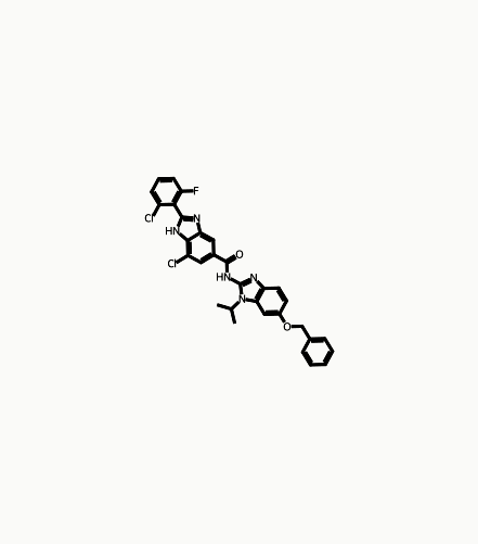 CC(C)n1c(NC(=O)c2cc(Cl)c3[nH]c(-c4c(F)cccc4Cl)nc3c2)nc2ccc(OCc3ccccc3)cc21